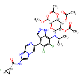 COC(=O)[C@H]1O[C@@H](N(c2c(F)c(Cl)c(-c3cn4cc(NC(=O)[C@@H]5C[C@@H]5F)nc4cn3)c3cn[nH]c23)C(C)C)[C@H](OC(C)=O)[C@@H](OC(C)=O)[C@@H]1OC(C)=O